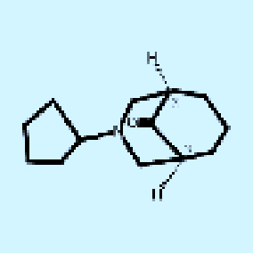 O=C1[C@@H]2CCC[C@H]1CN(C1CCCC1)C2